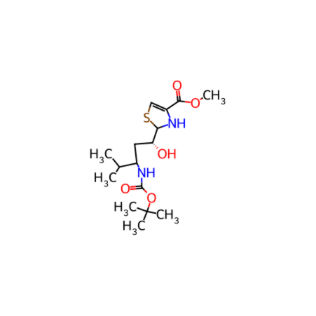 COC(=O)C1=CSC([C@H](O)CC(NC(=O)OC(C)(C)C)C(C)C)N1